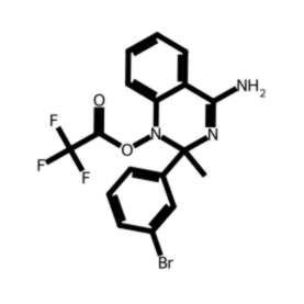 CC1(c2cccc(Br)c2)N=C(N)c2ccccc2N1OC(=O)C(F)(F)F